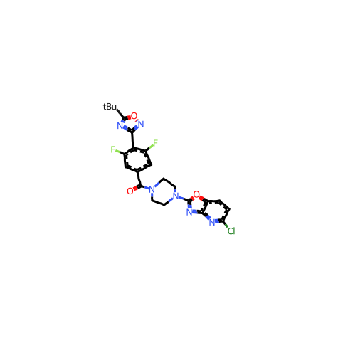 CC(C)(C)c1nc(-c2c(F)cc(C(=O)N3CCN(c4nc5nc(Cl)ccc5o4)CC3)cc2F)no1